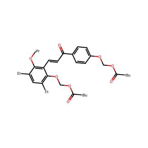 CCc1cc(CC)c(OC(C)C)c(C=CC(=O)c2ccc(OCOC(=O)C(C)(C)C)cc2)c1OCOC(=O)C(C)(C)C